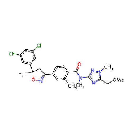 COCc1nc(N(C)C(=O)c2ccc(C3=NOC(c4cc(Cl)cc(Cl)c4)(C(F)(F)F)C3)cc2C)nn1C